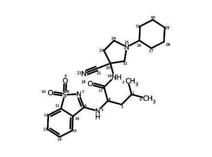 CC(C)CC(NC1=NS(=O)(=O)c2ccccc21)C(=O)NC1(C#N)CCN(C2CCCCC2)C1